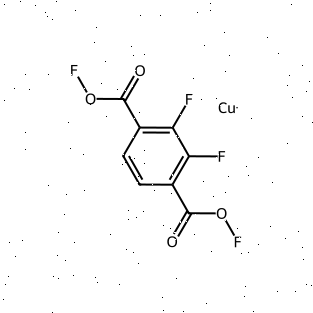 O=C(OF)c1ccc(C(=O)OF)c(F)c1F.[Cu]